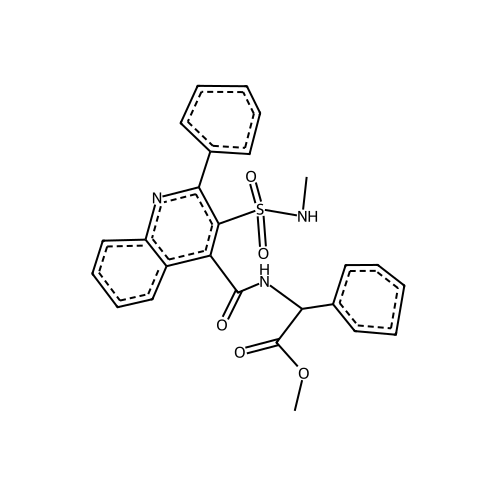 CNS(=O)(=O)c1c(-c2ccccc2)nc2ccccc2c1C(=O)NC(C(=O)OC)c1ccccc1